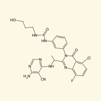 CC(Nc1ncnc(N)c1C#N)c1nc2c(F)ccc(Cl)c2c(=O)n1-c1cccc(NC(=O)NCCCO)c1